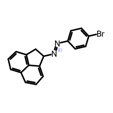 Brc1ccc(/N=N/C2Cc3cccc4cccc2c34)cc1